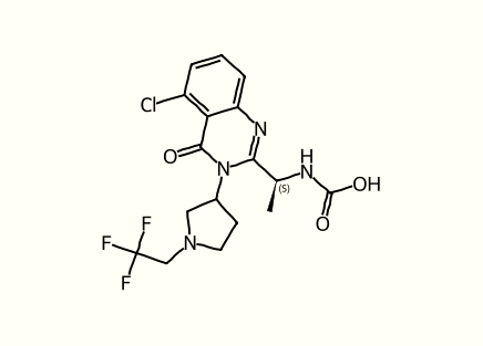 C[C@H](NC(=O)O)c1nc2cccc(Cl)c2c(=O)n1C1CCN(CC(F)(F)F)C1